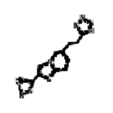 c1cc2nc(-c3nnn[nH]3)cn2cc1CCc1nnn[nH]1